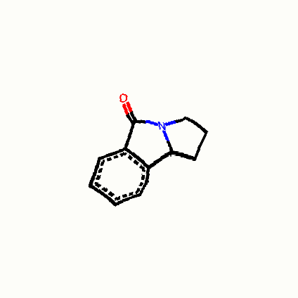 O=C1c2ccccc2[C]2CCCN21